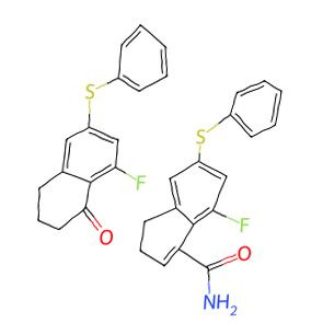 NC(=O)C1=CCCc2cc(Sc3ccccc3)cc(F)c21.O=C1CCCc2cc(Sc3ccccc3)cc(F)c21